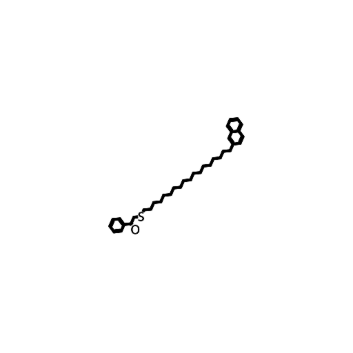 O=C(CSCCCCCCCCCCCCCCCCCCc1ccc2ccccc2c1)c1ccccc1